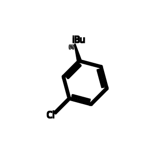 CC[C@H](C)c1cccc(Cl)c1